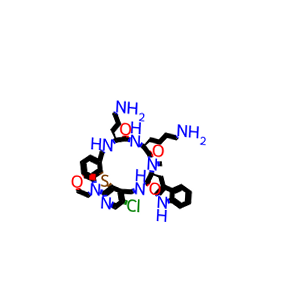 CN1C(=O)[C@H](CCCCN)NC(=O)[C@H](CCCN)NCc2ccccc2Sc2c(N3CCOCC3)ncc(Cl)c2CNC(=O)[C@@H]1Cc1c[nH]c2ccccc12